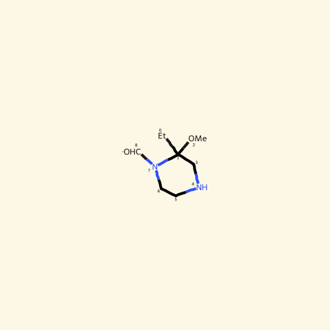 [CH2]CC1(OC)CNCCN1[C]=O